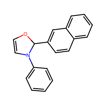 C1=CN(c2ccccc2)C(c2ccc3ccccc3c2)O1